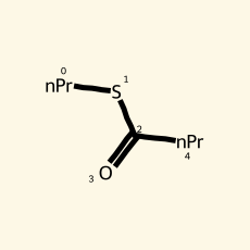 CCCSC(=O)CCC